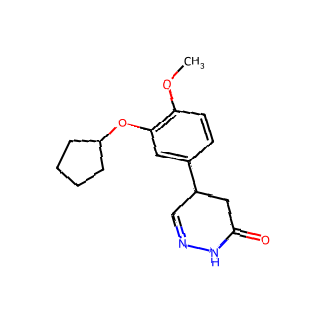 COc1ccc(C2C=NNC(=O)C2)cc1OC1CCCC1